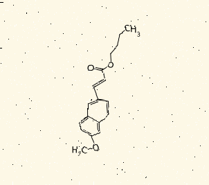 CCCCOC(=O)/C=C/c1ccc2cc(OC)ccc2c1